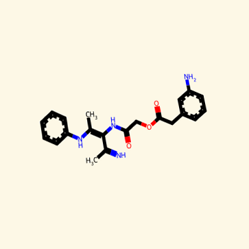 CC(=N)/C(NC(=O)COC(=O)Cc1cccc(N)c1)=C(/C)Nc1ccccc1